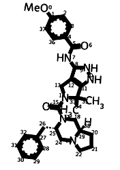 COc1ccc(C(=O)NC2NNC3=C2CN(C(=O)N2C[C@@H]4CCCN4C[C@@H]2Cc2ccccc2)C3(C)C)cc1